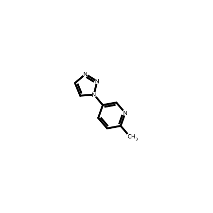 Cc1ccc(-n2ccnn2)cn1